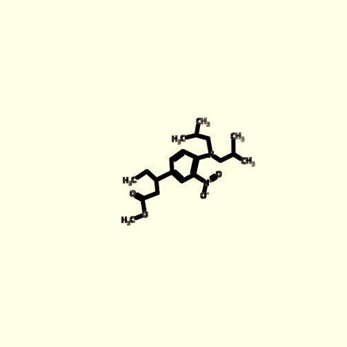 CCC(CC(=O)OC)c1ccc(N(CC(C)C)CC(C)C)c([N+](=O)[O-])c1